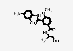 Bc1ccc(NC(=O)c2cc(C(=O)NC(C)CO)ccc2OC)c(Cl)c1